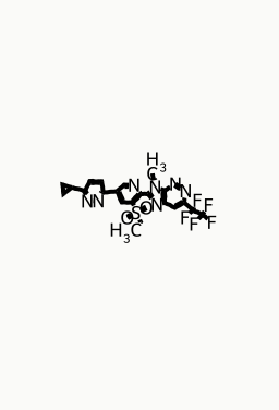 CCS(=O)(=O)c1cc(-c2ccc(C3CC3)nn2)cnc1-c1nc2cc(C(F)(F)C(F)(F)F)nnc2n1C